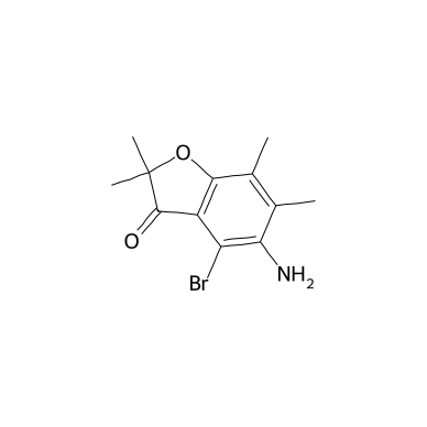 Cc1c(C)c2c(c(Br)c1N)C(=O)C(C)(C)O2